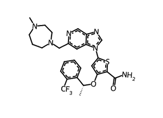 C[C@@H](Oc1cc(-n2cnc3cnc(CN4CCCN(C)CC4)cc32)sc1C(N)=O)c1ccccc1C(F)(F)F